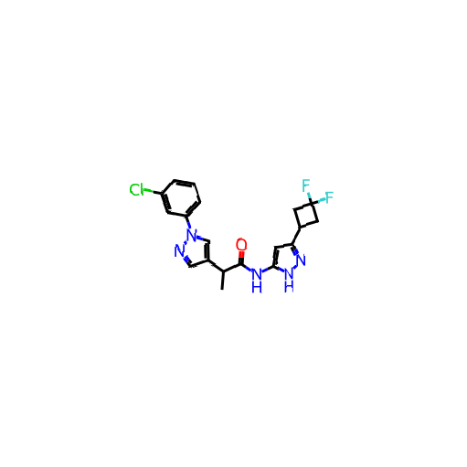 CC(C(=O)Nc1cc(C2CC(F)(F)C2)n[nH]1)c1cnn(-c2cccc(Cl)c2)c1